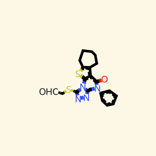 O=CCSc1nnc2n(-c3ccccc3)c(=O)c3c4c(sc3n12)CCCCC4